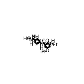 CCOc1cc(OC(C)C)cc(C(Nc2ccc(C(=N)NO)cc2)C(=O)O)c1